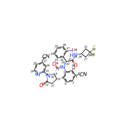 N#Cc1cccc(N(C(=O)[C@@H]2CCC(=O)N2c2cc(C#N)ccn2)[C@H](C(=O)NC2CC(F)(F)C2)c2ccccc2I)c1